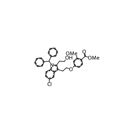 COC(=O)c1ccc(OCCc2c(CCO)n(C(c3ccccc3)c3ccccc3)c3ccc(Cl)cc23)cc1OC